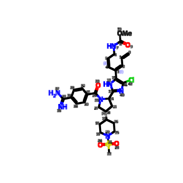 C=C/C=C(\C=C/CNC(=O)OC)c1[nH]c(C2C[C@H](C3CCN(S(C)(=O)=O)CC3)CN2C(=O)c2ccc(C(=N)N)cc2)nc1Cl